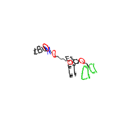 CCc1cc(OCC=C(Cl)Cl)cc(CC)c1OCCCCCCOCC=NOC(C)(C)C